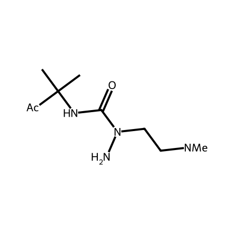 CNCCN(N)C(=O)NC(C)(C)C(C)=O